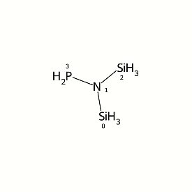 [SiH3]N([SiH3])P